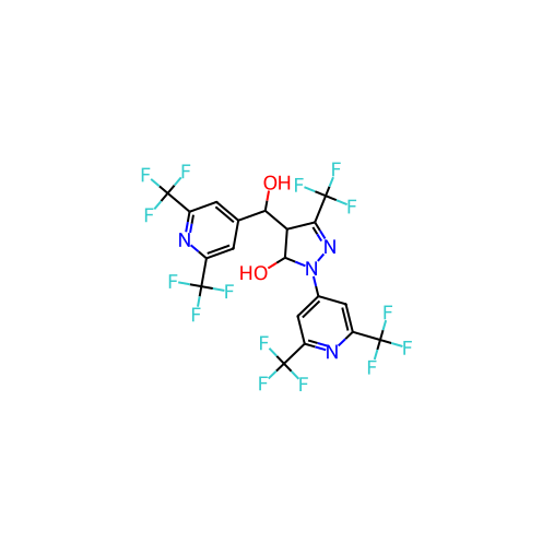 OC(c1cc(C(F)(F)F)nc(C(F)(F)F)c1)C1C(C(F)(F)F)=NN(c2cc(C(F)(F)F)nc(C(F)(F)F)c2)C1O